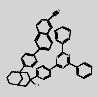 CC1(c2ccc(-c3nc(-c4ccccc4)nc(-c4ccccc4)n3)cc2)CC2CCCC(c3ccc(-c4ccc5cc(C#N)ccc5c4)cc3)(C2)C1